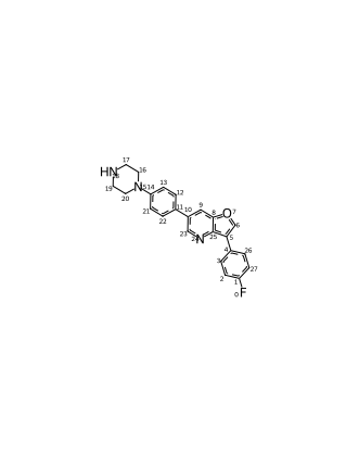 Fc1ccc(-c2coc3cc(-c4ccc(N5CCNCC5)cc4)cnc23)cc1